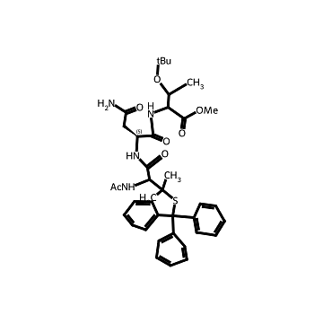 COC(=O)C(NC(=O)[C@H](CC(N)=O)NC(=O)C(NC(C)=O)C(C)(C)SC(c1ccccc1)(c1ccccc1)c1ccccc1)C(C)OC(C)(C)C